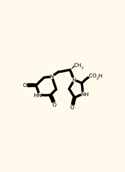 C[C@@H](CN1CC(=O)NC(=O)C1)N1CC(=O)NC1C(=O)O